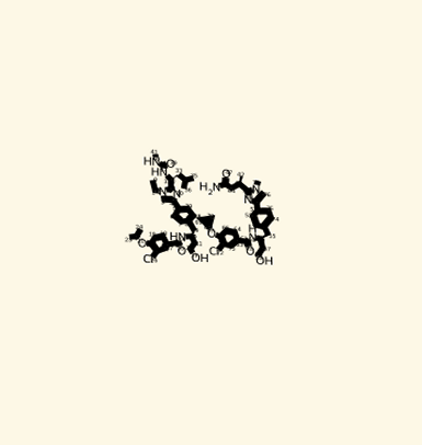 CCn1cc(-c2ccc(C[C@@H](CCO)NC(=O)c3ccc(OC(C)C)c(Cl)c3)cc2)nc1[C@@H](CC(C)C)NC(=O)NC.C[C@H](CC(N)=O)c1nc(-c2ccc(C[C@@H](CCO)NC(=O)c3ccc(OC4CC4)c(Cl)c3)cc2)cn1C